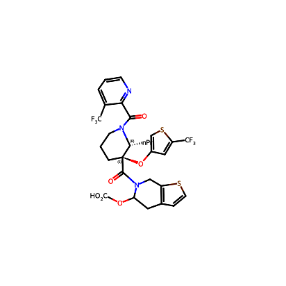 CCC[C@H]1N(C(=O)c2ncccc2C(F)(F)F)CCC[C@@]1(Oc1csc(C(F)(F)F)c1)C(=O)N1Cc2sccc2CC1OC(=O)O